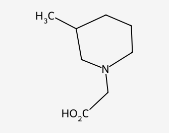 CC1CCCN(CC(=O)O)C1